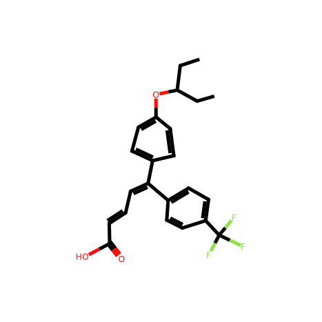 CCC(CC)Oc1ccc(C(=CC=CC(=O)O)c2ccc(C(F)(F)F)cc2)cc1